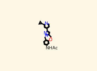 CC(=O)Nc1ccc2c(c1)OCc1cc(-c3ccnc(C4CC4)c3)nn1C2